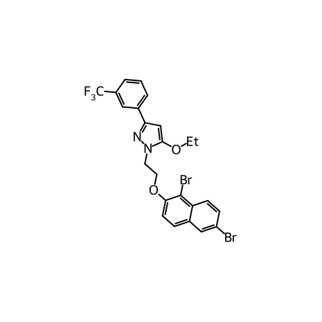 CCOc1cc(-c2cccc(C(F)(F)F)c2)nn1CCOc1ccc2cc(Br)ccc2c1Br